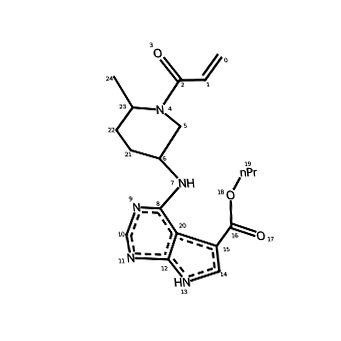 C=CC(=O)N1CC(Nc2ncnc3[nH]cc(C(=O)OCCC)c23)CCC1C